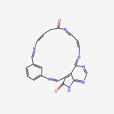 O=C1C/C=C\N=C/c2cccc(c2)/N=C\C2=c3c(ncn/c3=N/C=C\C=N/1)NC2=O